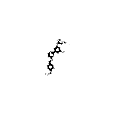 COC[C@H](C)Oc1cc(O)cc(-c2nccc(OCc3ccc(OC)cc3)n2)c1